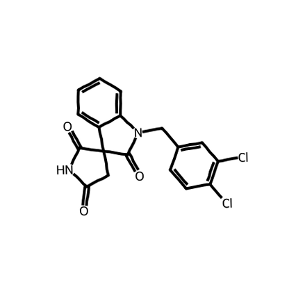 O=C1CC2(C(=O)N1)C(=O)N(Cc1ccc(Cl)c(Cl)c1)c1ccccc12